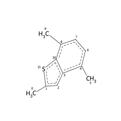 Cc1cc2c(C)ccc(C)c2s1